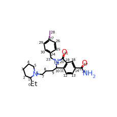 CCC1CCCCN1CCCC1c2ccc(C(N)=O)cc2C(=O)N1Cc1ccc(I)cc1